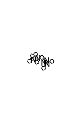 c1ccc(-c2nc(-c3ccccc3)nc(-c3cccc(-n4c5cccc6ccc7c8ccccc8n(c8ccccc84)c7c65)c3)n2)cc1